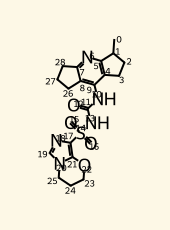 CC1CCc2c1nc1c(c2NC(=O)NS(=O)(=O)c2ncn3c2OCCC3)CCC1